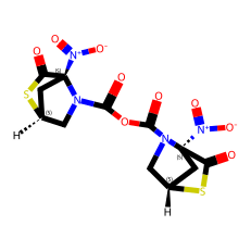 O=C(OC(=O)N1C[C@@H]2C[C@]1([N+](=O)[O-])C(=O)S2)N1C[C@@H]2C[C@]1([N+](=O)[O-])C(=O)S2